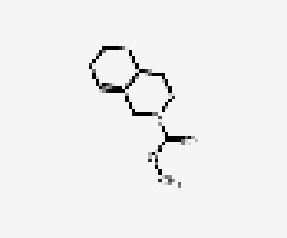 COC(=O)N1CCC2CCCC=C2C1